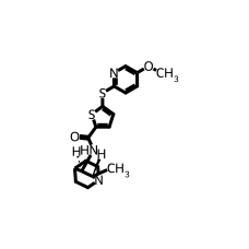 COc1ccc(Sc2ccc(C(=O)N[C@@H]3C4CCN(CC4)[C@H]3C)s2)nc1